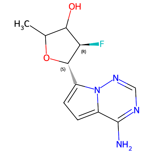 CC1O[C@@H](c2ccc3c(N)ncnn23)[C@H](F)C1O